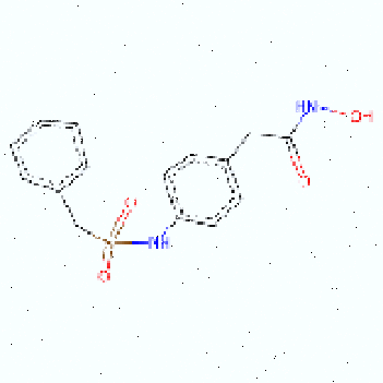 O=C(Cc1ccc(NS(=O)(=O)Cc2ccccc2)cc1)NO